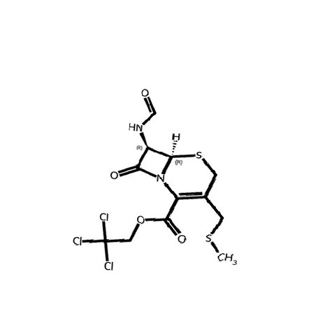 CSCC1=C(C(=O)OCC(Cl)(Cl)Cl)N2C(=O)[C@@H](NC=O)[C@H]2SC1